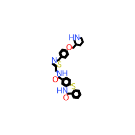 O=C(NCc1cnc(-c2ccc(OCC3CCCNC3)cc2)s1)c1ccc2c(c1)NC(=O)c1ccccc1S2